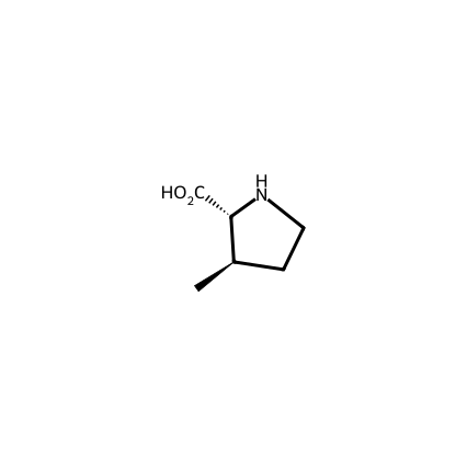 C[C@@H]1CCN[C@H]1C(=O)O